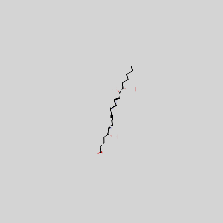 CCCCC[C@H](O)[C@H](O)/C=C/C=C/C#C/C=C/[C@@H](O)CCCC(=O)O